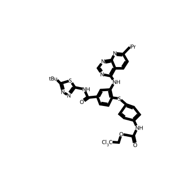 CC(C)c1ccc2c(Nc3cc(C(=O)Nc4nnc(C(C)(C)C)s4)ccc3Sc3ccc(NC(=O)OCC(Cl)(Cl)Cl)cc3)ncnc2n1